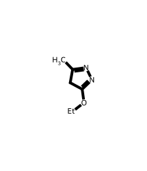 CCOC1=NN=C(C)C1